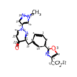 CCOC(=O)c1coc(-c2cccc(Cc3nn(-c4cnn(C)c4)ccc3=O)c2)n1